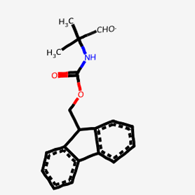 CC(C)([C]=O)NC(=O)OCC1c2ccccc2-c2ccccc21